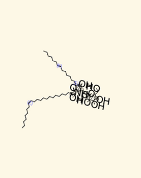 CCCCCC/C=C/CCCCC/C=C/[C@@H](O)[C@H](CO[C@@H]1OC(CO)[C@@H](O)C(O)C1O)NC(=O)[C@H](O)CCCCCCCCCCCC/C=C\CCCCCCCC